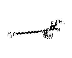 CCCCCCCCCCCCCCCCCCOCC(COP(=O)(O)O)OCc1cc(F)c(CCC)c(C#N)c1